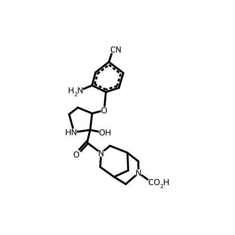 N#Cc1ccc(OC2CCNC2(O)C(=O)N2CC3CC(CN(C(=O)O)C3)C2)c(N)c1